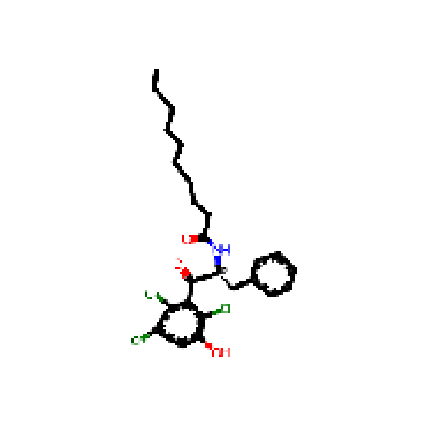 CCCCCCCCCC(=O)N[C@@H](Cc1ccccc1)C(=O)c1c(Cl)c(O)cc(Cl)c1Cl